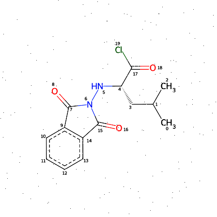 CC(C)C[C@H](NN1C(=O)c2ccccc2C1=O)C(=O)Cl